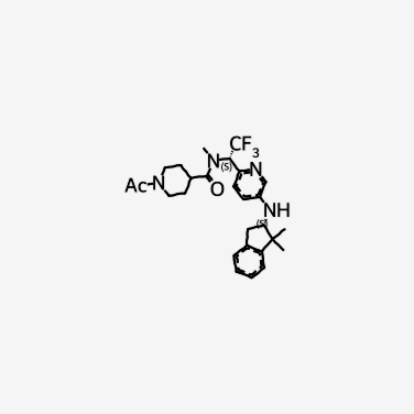 CC(=O)N1CCC(C(=O)N(C)[C@@H](c2ccc(N[C@H]3Cc4ccccc4C3(C)C)cn2)C(F)(F)F)CC1